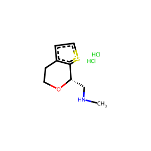 CNC[C@@H]1OCCc2ccsc21.Cl.Cl